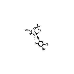 [C-]#[N+]c1cc(F)c(C#CC2(NC(=O)OC(C)(C)C)COC(C)(C)OC2)cc1Cl